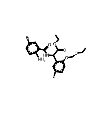 CCOCOc1ccc(F)cc1C(NC(=O)c1cc(Br)ccc1N)C(=O)OCC